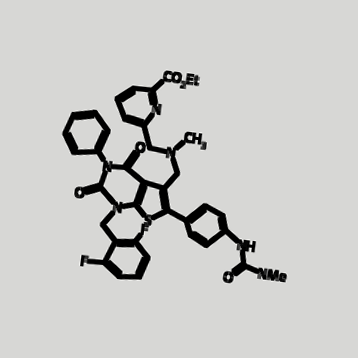 CCOC(=O)c1cccc(CN(C)Cc2c(-c3ccc(NC(=O)NC)cc3)sc3c2c(=O)n(-c2ccccc2)c(=O)n3Cc2c(F)cccc2F)n1